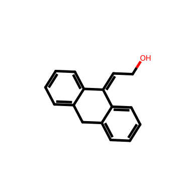 OCC=C1c2ccccc2Cc2ccccc21